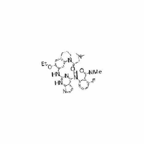 CCOc1cc2c(cc1Nc1nc(Nc3cccc(F)c3C(=O)NC)c3ccnc-3[nH]1)N(C(=O)CN(C)C)CCC2